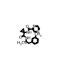 Cc1cccc(C[C@@H](C)NC(=O)C2(NC(=O)c3cnccn3)CC2)c1